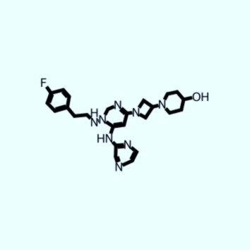 OC1CCN(C2CN(C3=NCN(NCCc4ccc(F)cc4)C(Nc4cnccn4)=C3)C2)CC1